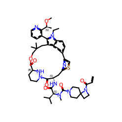 C=CC(=O)N1CCC12CCN(C(=O)N(C)[C@H](C(=O)N[C@H]1Cc3nc(cs3)-c3ccc4c(c3)c(c(-c3cccnc3[C@H](C)OC)n4CC)CC(C)(C)COC[C@@]3(C=O)CCCN(N3)C1=O)C(C)C)CC2